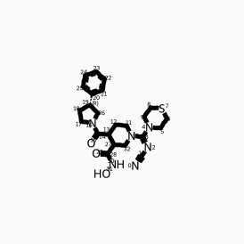 N#CN=C(N1CCSCC1)N1CCC(C(=O)N2CC[C@H](c3ccccc3)C2)C(C(=O)NO)C1